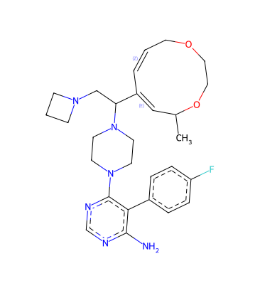 CC1/C=C(C(CN2CCC2)N2CCN(c3ncnc(N)c3-c3ccc(F)cc3)CC2)\C=C/COCCO1